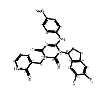 COc1ccc(Nc2nc(=O)n(Cc3ccc[nH]c3=O)c(=O)n2C2CCc3cc(F)c(F)cc32)cc1